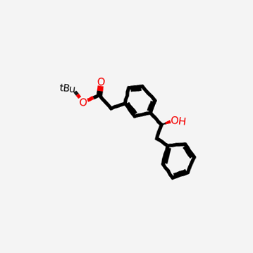 CC(C)(C)OC(=O)Cc1cccc([C@@H](O)Cc2ccccc2)c1